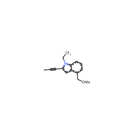 CC#Cc1cc2c(COC)cccc2n1CC(F)(F)F